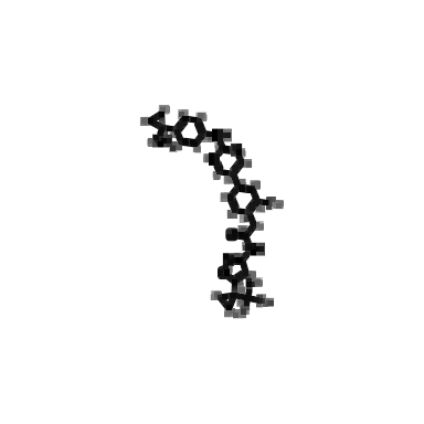 NC1(c2ccc(Nc3ncc(-c4ccc(CC(=O)Nc5cc(C6(C(F)(F)F)CC6)on5)c(F)c4)cn3)cc2)CC1